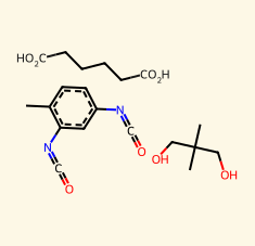 CC(C)(CO)CO.Cc1ccc(N=C=O)cc1N=C=O.O=C(O)CCCCC(=O)O